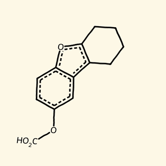 O=C(O)Oc1ccc2oc3c(c2c1)CCCC3